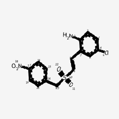 Nc1ccc(Cl)cc1C=CS(=O)(=O)Cc1ccc([N+](=O)[O-])cc1